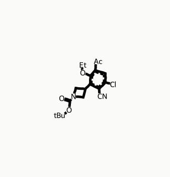 CCOc1c(C(C)=O)cc(Cl)c(C#N)c1C1CN(C(=O)OC(C)(C)C)C1